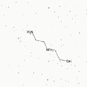 NCCN=CCO